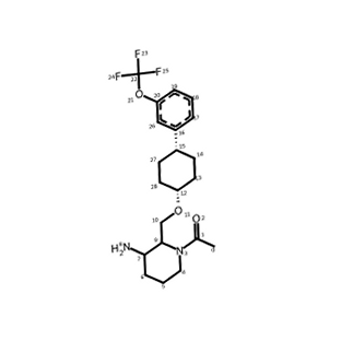 CC(=O)N1CCCC(N)C1CO[C@H]1CC[C@@H](c2cccc(OC(F)(F)F)c2)CC1